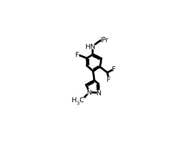 CC(C)Nc1cc(C(F)F)c(-c2cnn(C)c2)cc1F